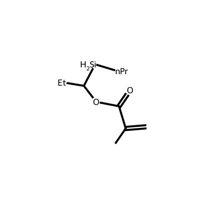 C=C(C)C(=O)OC(CC)[SiH2]CCC